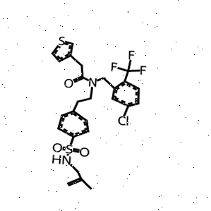 C=C(C)CNS(=O)(=O)c1ccc(CCN(Cc2cc(Cl)ccc2C(F)(F)F)C(=O)Cc2ccsc2)cc1